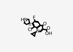 O=C(O)c1cn(C2CC2)c2c(Cl)c([C@@H]3CCNC3)c(F)cc2c1=O